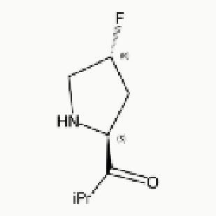 CC(C)C(=O)[C@@H]1C[C@@H](F)CN1